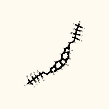 FC(F)(F)C(F)(F)C(F)(F)C(F)(F)CCc1cc2cc3c(cc2s1)sc1cc2sc(CCC(F)(F)C(F)(F)C(F)(F)C(F)(F)F)cc2cc13